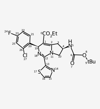 CCOC(=O)C1=C2C[C@@H](NC(=O)OC(C)(C)C)CN2C(c2nccs2)=N[C@H]1c1ccc(F)cc1Cl